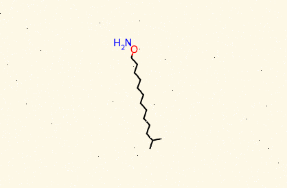 CC(C)CCCCCCCCCCCON